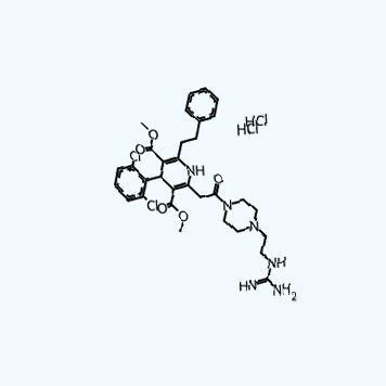 COC(=O)C1=C(CCc2ccccc2)NC(CC(=O)N2CCN(CCNC(=N)N)CC2)=C(C(=O)OC)C1c1c(Cl)cccc1Cl.Cl.Cl